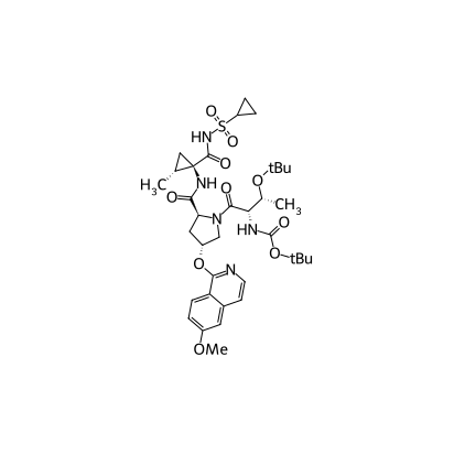 COc1ccc2c(O[C@@H]3C[C@@H](C(=O)N[C@]4(C(=O)NS(=O)(=O)C5CC5)C[C@H]4C)N(C(=O)[C@@H](NC(=O)OC(C)(C)C)[C@@H](C)OC(C)(C)C)C3)nccc2c1